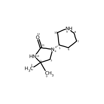 CC1(C)CN([C@H]2CCCNC2)C(=O)N1